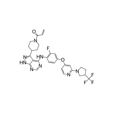 C=CC(=O)N1CCC(c2n[nH]c3ncnc(Nc4ccc(Oc5ccnc(N6CCC(C(F)(F)F)C6)c5)cc4F)c23)CC1